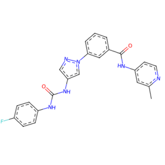 Cc1cc(NC(=O)c2cccc(-n3cc(NC(=O)Nc4ccc(F)cc4)cn3)c2)ccn1